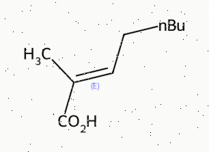 CCCCC/C=C(\C)C(=O)O